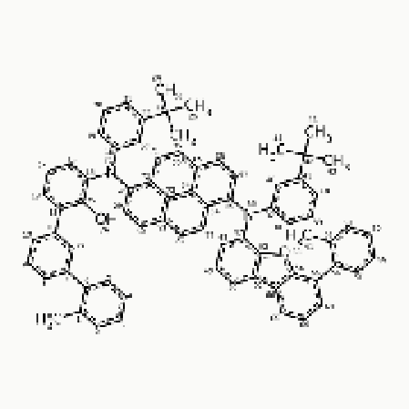 Cc1ccccc1-c1cccc(-c2cccc(N(c3cccc(C(C)(C)C)c3)c3ccc4ccc5c(N(c6cccc(C(C)(C)C)c6)c6cccc7c6oc6c(-c8ccccc8C)cccc67)ccc6ccc3c4c65)c2O)c1